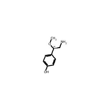 CO[C@@H](CN)c1ccc(O)cc1